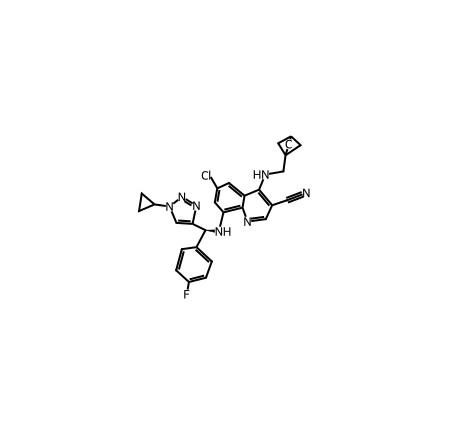 N#Cc1cnc2c(N[C@@H](c3ccc(F)cc3)c3cn(C4CC4)nn3)cc(Cl)cc2c1NCC12CC(C1)C2